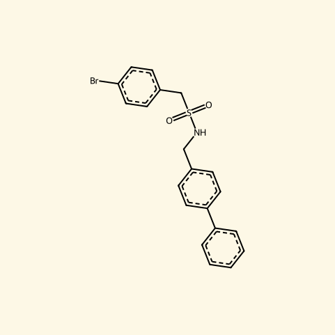 O=S(=O)(Cc1ccc(Br)cc1)NCc1ccc(-c2ccccc2)cc1